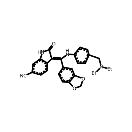 CCN(CC)Cc1ccc(N/C(=C2\C(=O)Nc3cc(C#N)ccc32)c2ccc3c(c2)OCO3)cc1